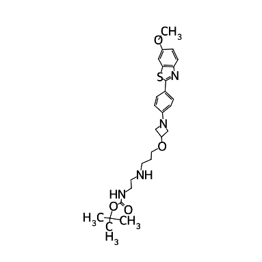 COc1ccc2nc(-c3ccc(N4CC(OCCCNCCNC(=O)OC(C)(C)C)C4)cc3)sc2c1